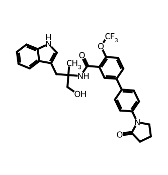 CC(CO)(Cc1c[nH]c2ccccc12)NC(=O)c1cc(-c2ccc(N3CCCC3=O)cc2)ccc1OC(F)(F)F